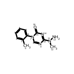 Cc1ccccc1-n1cnc(N(C)N)nc1=O